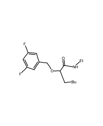 CCNC(=O)C(CC(C)(C)C)OCc1cc(F)cc(F)c1